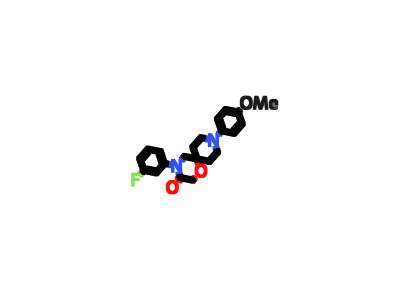 COc1ccc(N2CCC3(CC2)CN(c2cccc(F)c2)C(=O)CO3)cc1